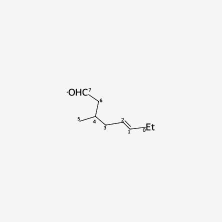 CC/C=C/CC(C)C[C]=O